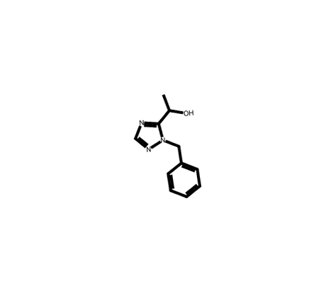 CC(O)c1ncnn1Cc1ccccc1